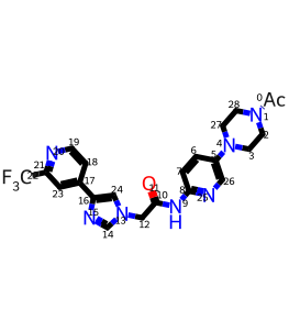 CC(=O)N1CCN(c2ccc(NC(=O)Cn3cnc(-c4ccnc(C(F)(F)F)c4)c3)nc2)CC1